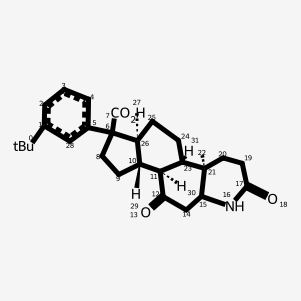 CC(C)(C)c1cccc(C2(C(=O)O)CC[C@H]3[C@@H]4C(=O)CC5NC(=O)CC[C@]5(C)[C@@H]4CC[C@@]32C)c1